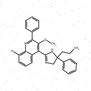 CCCC1(c2ccccc2)CN=C(c2c(OC)c(-c3ccccc3)nc3c(F)cccc23)N1